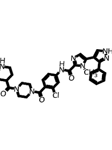 Cn1c(-c2c[nH]nc2-c2ccccc2)cnc1C(=O)Nc1ccc(C(=O)N2CCN(C(=O)C3CCNCC3)CC2)c(Cl)c1